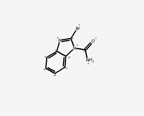 NC(=O)n1c(Br)nc2ccccc21